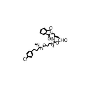 C=N/C(CCc1ccc(Cl)cc1)=N\OCCN(C)C(=O)N/C(=C\C=O)CN1C(=O)c2ccccc2C1=O